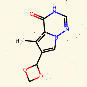 Cc1c(C2OCO2)cn2nc[nH]c(=O)c12